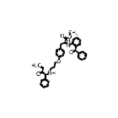 C=CC(=O)C(NCCCOc1ccc(CC(Nc2ccccc2C(=O)c2ccccc2)C(=O)OC)cc1)c1ccccc1